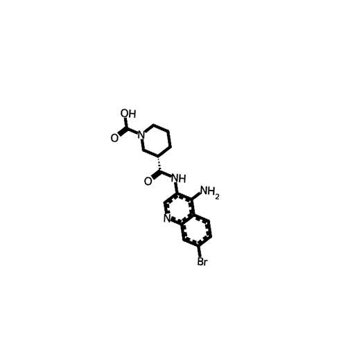 Nc1c(NC(=O)[C@H]2CCCN(C(=O)O)C2)cnc2cc(Br)ccc12